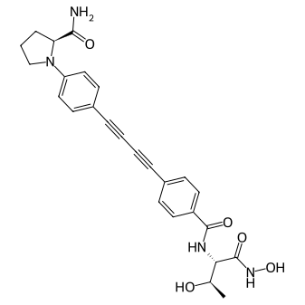 C[C@@H](O)[C@H](NC(=O)c1ccc(C#CC#Cc2ccc(N3CCC[C@H]3C(N)=O)cc2)cc1)C(=O)NO